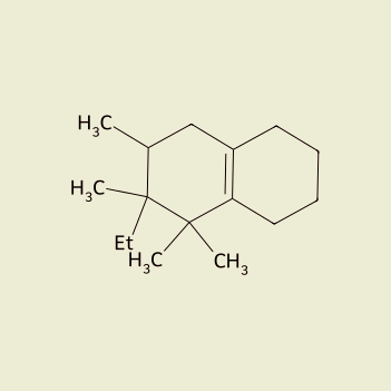 CCC1(C)C(C)CC2=C(CCCC2)C1(C)C